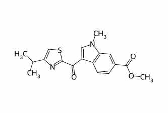 COC(=O)c1ccc2c(C(=O)c3nc(C(C)C)cs3)cn(C)c2c1